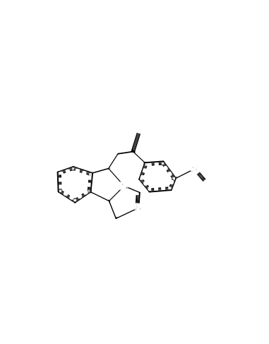 C=C(CC1c2ccccc2C2CN=CN21)c1cccc(N=O)c1